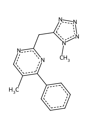 Cc1cnc(Cc2nnnn2C)nc1-c1ccccc1